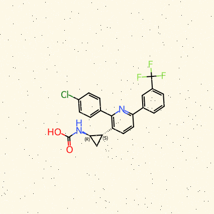 O=C(O)N[C@@H]1C[C@H]1c1ccc(-c2cccc(C(F)(F)F)c2)nc1-c1ccc(Cl)cc1